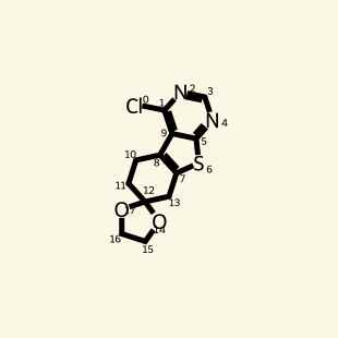 Clc1ncnc2sc3c(c12)CCC1(C3)OCCO1